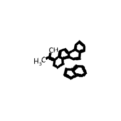 C1=Cc2ccccc2C1.CC(C)=C1CCCc2c1ccc1c2ccc2ccccc21